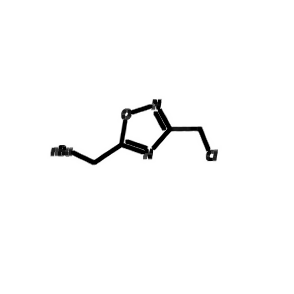 CCCCCc1nc(CCl)no1